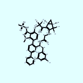 Cn1nc(NS(C)(=O)=O)c2c(Cl)ccc(-c3ccc(-c4ccccn4)nc3[C@H](Cc3cc(F)cc(F)c3)NC(=O)CNC3=C(C(=N)C(F)(F)F)[C@H]4C[C@H]4C3(F)F)c21